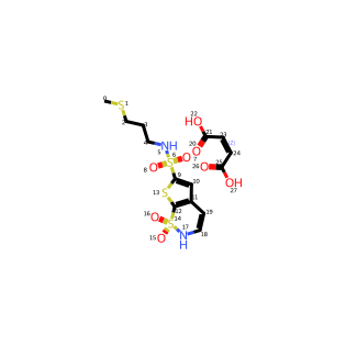 CSCCCNS(=O)(=O)c1cc2c(s1)S(=O)(=O)NC=C2.O=C(O)/C=C\C(=O)O